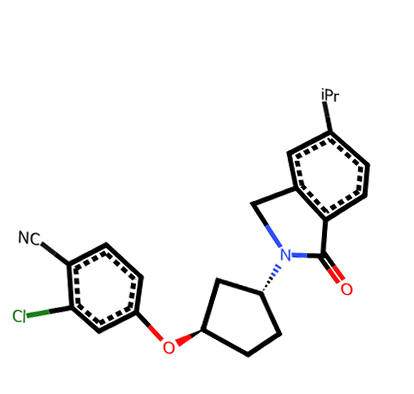 CC(C)c1ccc2c(c1)CN([C@@H]1CC[C@@H](Oc3ccc(C#N)c(Cl)c3)C1)C2=O